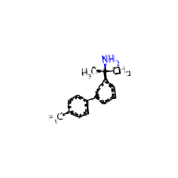 CC(C)(N)c1cccc(-c2ccc(C(F)(F)F)cc2)c1